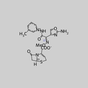 CO/N=C(\C(=O)N[n+]1cccc(C)c1)c1coc(N)n1.O=C([O-])C1=CCS[C@H]2CC(=O)N12